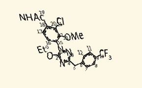 CCOc1nc(Cc2ccc(C(F)(F)F)cc2)nn1-c1ccc(NC(C)=O)c(Cl)c1OC